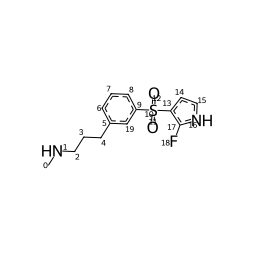 CNCCCc1cccc(S(=O)(=O)c2cc[nH]c2F)c1